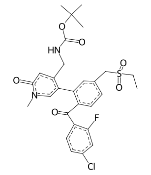 CCS(=O)(=O)Cc1ccc(C(=O)c2ccc(Cl)cc2F)c(-c2cn(C)c(=O)cc2CNC(=O)OC(C)(C)C)c1